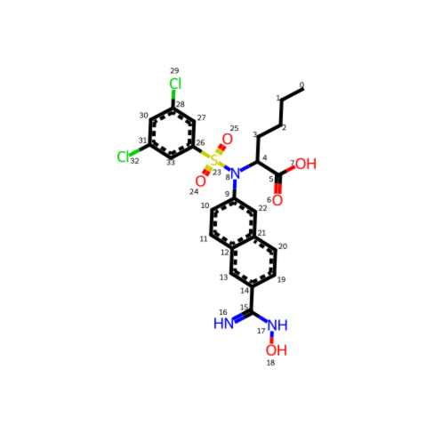 CCCCC(C(=O)O)N(c1ccc2cc(C(=N)NO)ccc2c1)S(=O)(=O)c1cc(Cl)cc(Cl)c1